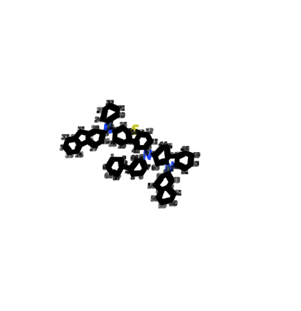 c1ccc(-c2cccc(N(c3ccc4sc5cc(N(c6ccccc6)c6ccc7c(c6)Cc6ccccc6-7)ccc5c4c3)c3ccc4c5ccccc5n(-c5ccc6ccccc6c5)c4c3)c2)cc1